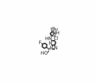 CC(C)(C)c1cc(Nc2nc3c(cc2Cl)ncn3[C@@H](CO)c2ccc(F)cc2)n[nH]1